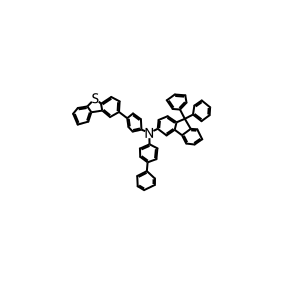 c1ccc(-c2ccc(N(c3ccc(-c4ccc5sc6ccccc6c5c4)cc3)c3ccc4c(c3)-c3ccccc3C4(c3ccccc3)c3ccccc3)cc2)cc1